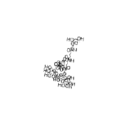 C[C@@H]1O[C@@H](OCCNC(=O)CCCC(=O)N[C@@H](CCC(=O)NCCO[C@H]2O[C@H](CO[C@H]3O[C@H](CO)[C@@H](O)[C@H](O)[C@@H]3O)[C@@H](O)[C@H](O[C@H]3O[C@H](CO)[C@@H](O)[C@H](O)[C@@H]3O)[C@@H]2O)C(=O)NCC(=O)ON2C(=O)CCC2=O)[C@@H](O)C[C@@H]1O